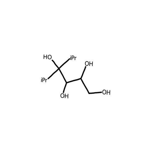 CC(C)C(O)(C(C)C)C(O)C(O)CO